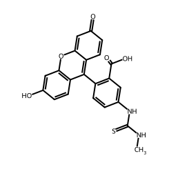 CNC(=S)Nc1ccc(-c2c3ccc(=O)cc-3oc3cc(O)ccc23)c(C(=O)O)c1